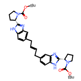 CC(C)(C)OC(=O)N1CCC[C@H]1c1nc2cc(CC=CCc3ccc4[nH]c([C@@H]5CCCN5C(=O)OC(C)(C)C)nc4c3)ccc2[nH]1